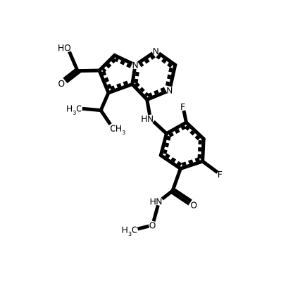 CONC(=O)c1cc(Nc2ncnn3cc(C(=O)O)c(C(C)C)c23)c(F)cc1F